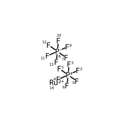 F[P-](F)(F)(F)(F)F.F[P-](F)(F)(F)(F)F.[Ru+2]